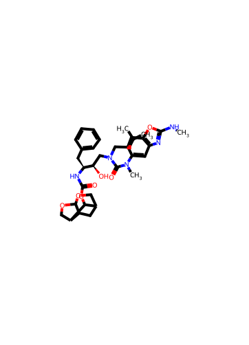 CNc1nc2cc(N(C)C(=O)N(CCC(C)C)C[C@@H](O)[C@H](Cc3ccccc3)NC(=O)OC3C4COC5OCC3C5C4)ccc2o1